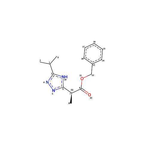 CC(C)c1nnc([C@H](C)C(=O)OCc2ccccc2)[nH]1